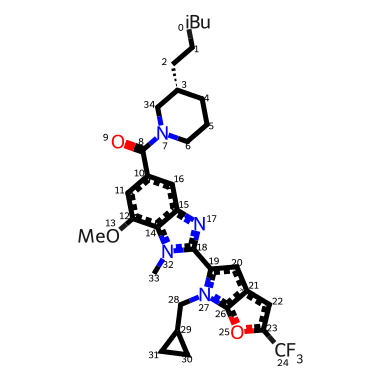 CCC(C)CC[C@@H]1CCCN(C(=O)c2cc(OC)c3c(c2)nc(-c2cc4cc(C(F)(F)F)oc4n2CC2CC2)n3C)C1